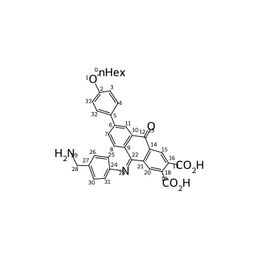 CCCCCCOc1ccc(-c2ccc3c(c2)C(=O)c2cc(C(=O)O)c(C(=O)O)cc2C3=Nc2ccc(CN)cc2)cc1